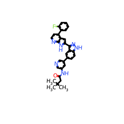 CC(C)(C)CC(=O)Nc1cncc(-c2ccc3[nH]nc(-c4cc5c(-c6ccccc6F)ccnc5[nH]4)c3c2)c1